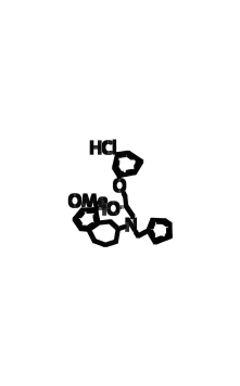 COc1cccc2c1CC(N(Cc1ccccc1)C[C@H](O)COc1ccccc1)CCC2.Cl